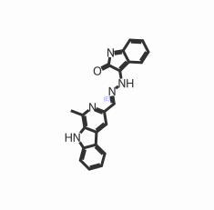 Cc1nc(/C=N/NC2=c3ccccc3=NC2=O)cc2c1[nH]c1ccccc12